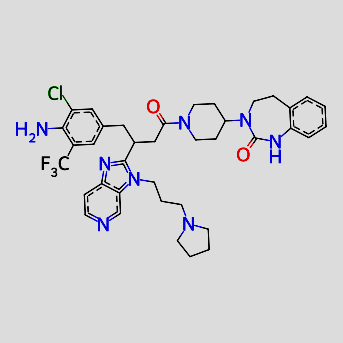 Nc1c(Cl)cc(CC(CC(=O)N2CCC(N3CCc4ccccc4NC3=O)CC2)c2nc3ccncc3n2CCCN2CCCC2)cc1C(F)(F)F